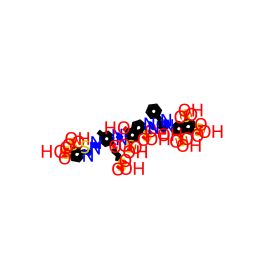 Cc1cc(N=Nc2c(S(=O)(=O)O)cc3c(S(=O)(=O)O)c(N=Nc4c(-c5ccccc5)nn(-c5cc(S(=O)(=O)O)c6cc(S(=O)(=O)O)cc(S(=O)(=O)O)c6c5)c4O)ccc3c2O)c(OCCCS(=O)(=O)O)cc1N=Nc1nc2ccc(S(=O)(=O)O)c(S(=O)(=O)O)c2s1